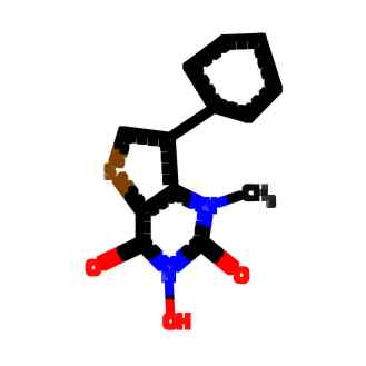 Cn1c(=O)n(O)c(=O)c2scc(-c3ccccc3)c21